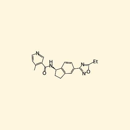 CCc1nc(-c2ccc3c(c2)CC[C@H]3NC(=O)c2cnccc2C)no1